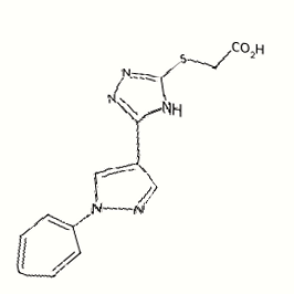 O=C(O)CSc1nnc(-c2cnn(-c3ccccc3)c2)[nH]1